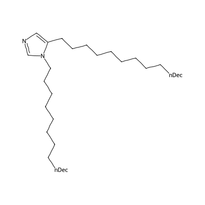 CCCCCCCCCCCCCCCCCCCc1cncn1CCCCCCCCCCCCCCCCCC